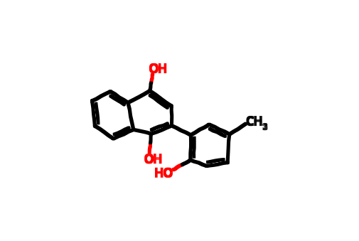 Cc1ccc(O)c(-c2cc(O)c3ccccc3c2O)c1